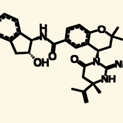 C=C(C)[C@]1(C)CC(=O)N([C@@H]2CC(C)(C)Oc3ccc(C(=O)N[C@@H]4c5ccccc5C[C@H]4O)cc32)C(=N)N1